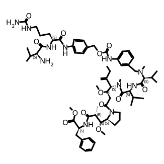 C=C(CC)[C@@H]([C@@H](CC(=O)N1CCC[C@H]1[C@H](OC)[C@@H](C)C(=O)N[C@@H](Cc1ccccc1)C(=O)OC)OC)N(C)C(=O)[C@@H](NC(=O)[C@H](C(C)C)N(C)Cc1cccc(NC(=O)OCc2ccc(NC(=O)[C@H](CCCNC(N)=O)NC(=O)[C@@H](N)C(C)C)cc2)c1)C(C)C